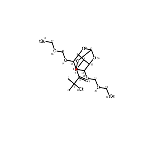 CCC(C)(C)C(=O)OC1C2OC3OC(C2OCOCC(C)(C)C)C(OCOCC(C)(C)C)C1O3